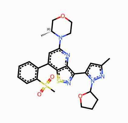 Cc1cc(-c2nsc3c(-c4ccccc4S(C)(=O)=O)cc(N4CCOC[C@H]4C)nc23)n(C2CCCO2)n1